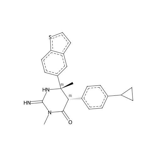 CN1C(=N)N[C@](C)(c2ccc3sccc3c2)[C@H](c2ccc(C3CC3)cc2)C1=O